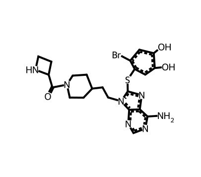 Nc1ncnc2c1nc(Sc1cc(O)c(O)cc1Br)n2CCC1CCN(C(=O)C2CCN2)CC1